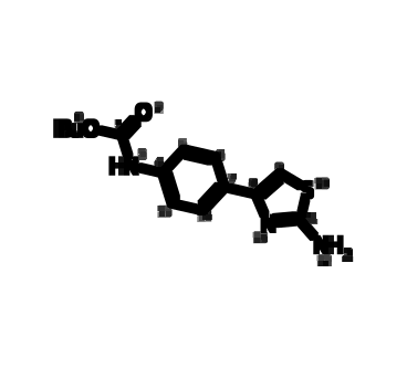 CC(C)COC(=O)Nc1ccc(-c2csc(N)n2)cc1